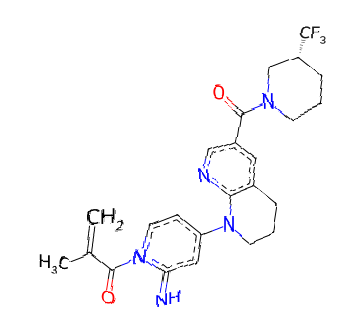 C=C(C)C(=O)n1ccc(N2CCCc3cc(C(=O)N4CCC[C@@H](C(F)(F)F)C4)cnc32)cc1=N